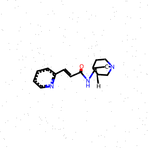 O=C(/C=C/c1ccccn1)N[C@H]1CN2CCC1CC2